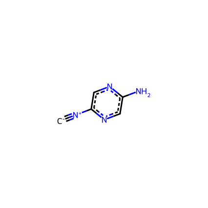 [C-]#[N+]c1cnc(N)cn1